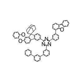 c1ccc(-c2cccc(-c3cccc(-c4nc(-c5cccc(-c6cccc7c6oc6ccccc67)c5)nc(-c5ccc6c(c5)-c5ccc7c(c5C65C6CC8CC(C6)CC5C8)Oc5ccccc5O7)n4)c3)c2)cc1